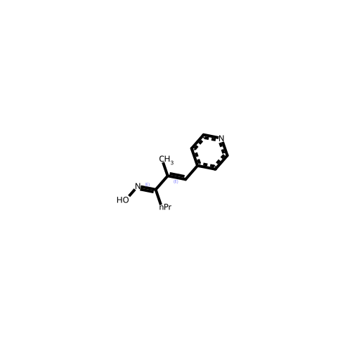 CCCC(=N\O)/C(C)=C/c1ccncc1